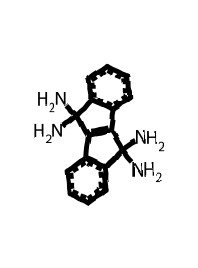 NC1(N)C2=C(c3ccccc31)C(N)(N)c1ccccc12